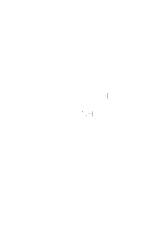 C=C.C=C.CC(N)O.c1ccccc1